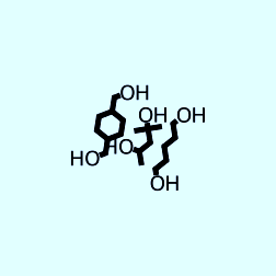 CC(O)CC(C)(C)O.OCC1CCC(CO)CC1.OCCCCCO